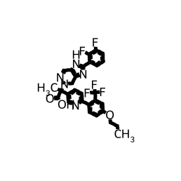 CCCOc1ccc(-c2ccc(C(C)(C(=O)O)N3Cc4nc(-c5cccc(F)c5F)[nH]c4C=N3)cn2)c(C(F)(F)F)c1